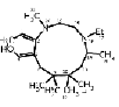 C/C=C1\C(=C/O)CC(C)(C)C(C)(C)CC(C)N(CC)CCN1C